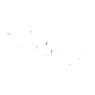 CNC(=O)O[C@@H]([C@H]1C[C@@H](C)[C@H]2[C@H](O1)[C@H](O)[C@@]1(C)[C@@H]3CC[C@H]4C(C)(C)[C@@H](O)CC[C@@]45C[C@@]35CC[C@]21C)C(C)(C)O